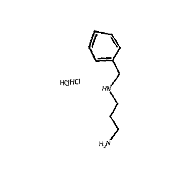 Cl.Cl.NCCCNCc1ccccc1